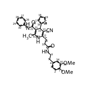 COc1ccc(CCNC(=O)CSC2=C(C#N)C(c3cccs3)C(C(=O)Nc3ccccc3)=C(C)N2)cc1OC